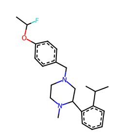 CC(F)Oc1ccc(CN2CCN(C)C(c3ccccc3C(C)C)C2)cc1